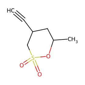 C#CC1CC(C)OS(=O)(=O)C1